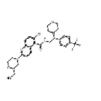 O=C(NCC(c1cnc(C(F)(F)F)nc1)N1CCOCC1)c1c(Cl)ccc2nc(N3CCOC(CO)C3)ccc12